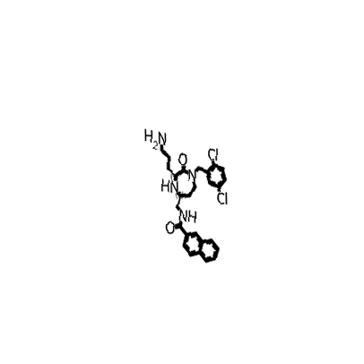 NCCC[C@@H]1N[C@H](CNC(=O)c2ccc3ccccc3c2)CCN(Cc2cc(Cl)ccc2Cl)C1=O